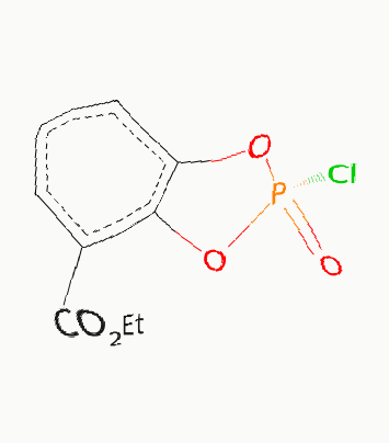 CCOC(=O)c1cccc2c1O[P@@](=O)(Cl)O2